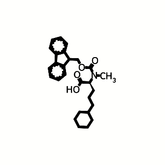 CN(C(=O)OCC1c2ccccc2-c2ccccc21)[C@@H](CCCC1CCCCC1)C(=O)O